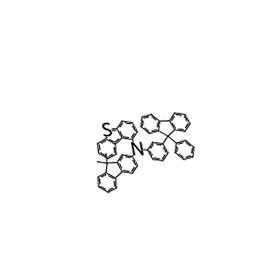 CC1(C)c2ccccc2-c2ccc(N(c3cccc(C4(c5ccccc5)c5ccccc5-c5ccccc54)c3)c3cccc4sc5ccccc5c34)cc21